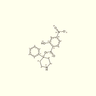 O=C(OC1(c2ccccc2)CCNCC1)c1ccc([N+](=O)[O-])cc1O